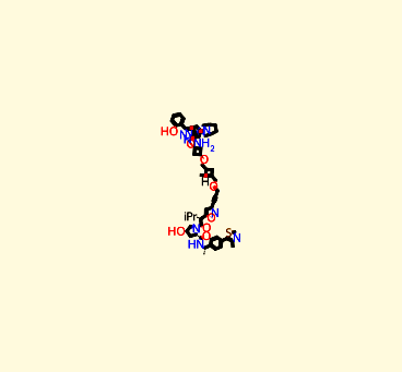 Cc1ncsc1-c1ccc([C@H](C)NC(=O)[C@@H]2C[C@@H](O)CN2C(=O)[C@@H](c2cc(C#CCOCC34CC(CO[C@H]5C[C@H](Oc6cc(N7C8CCC7CN(c7cc(-c9ccccc9O)nnc7N)C8)ccn6)C5)(C3)[C@@H]4C)no2)C(C)C)cc1